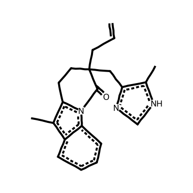 C=CCC1(Cc2nc[nH]c2C)CCc2c(C)c3ccccc3n2C1=O